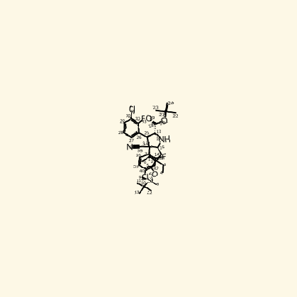 CCC(CC)(CO[Si](C)(C)C(C)(C)C)C[C@@H]1N[C@@H](C(=O)OC(C)(C)C)C(c2cccc(Cl)c2F)C1(C#N)c1ccc(Cl)cc1F